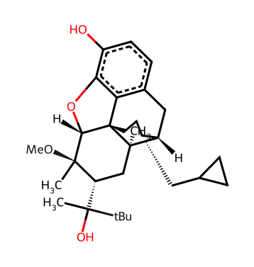 CO[C@]1(C)[C@@H](C(C)(O)C(C)(C)C)C[C@]2(C)[C@H]3Cc4ccc(O)c5c4[C@@]2(CC[C@H]3CC2CC2)[C@H]1O5